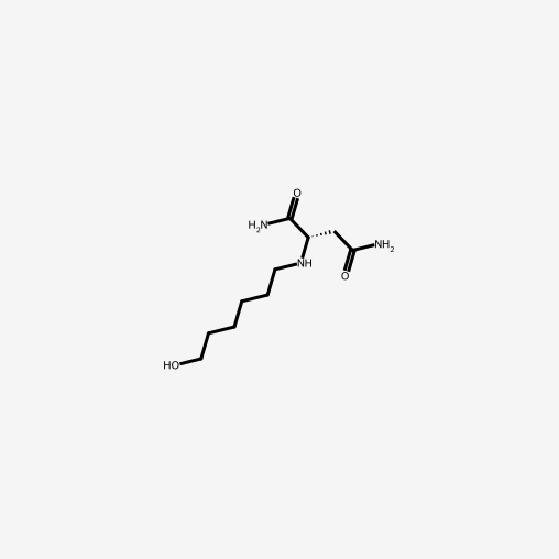 NC(=O)C[C@H](NCCCCCCO)C(N)=O